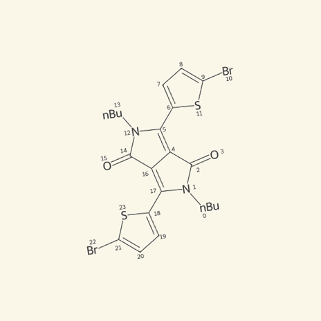 CCCCN1C(=O)C2=C(c3ccc(Br)s3)N(CCCC)C(=O)C2=C1c1ccc(Br)s1